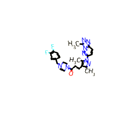 Cc1nn(-c2ccc3nnc(C)n3n2)c(C)c1CCC(=O)N1CCN(Cc2ccc(F)c(F)c2)CC1